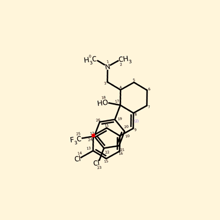 CN(C)CC1CCC/C(=C/c2ccc(Cl)cc2)C1(O)c1ccc(Cl)c(C(F)(F)F)c1